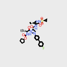 C=C[C@@H]1C[C@]1(NC(=O)[C@@H]1CN(c2ccc(-c3ccc(F)cc3)cc2)CN1C(=O)C(NC(=O)OC1CCCC1)C(C)(C)C)C(=O)NS(=O)(=O)C1CC1